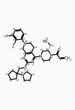 C=CC(=O)N1CCN(c2nc(OCC3(N4CCCC4)CCCC3)nc3c2CCN(c2cccc(F)c2F)C3)C[C@@H]1CC#N